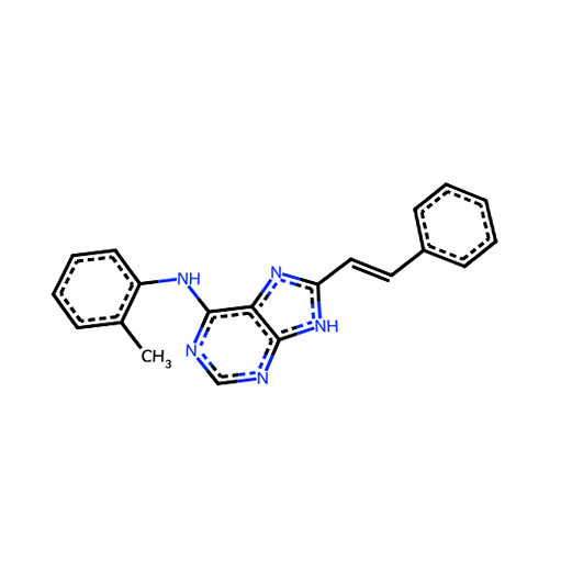 Cc1ccccc1Nc1ncnc2[nH]c(/C=C/c3ccccc3)nc12